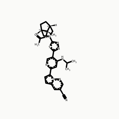 CC(=O)N[C@@]1(C)[C@@H]2CC[C@H]1CN(c1nnc(-c3cnc(-c4ccc5cc(C#N)cnn45)cc3NC(C)C)s1)C2